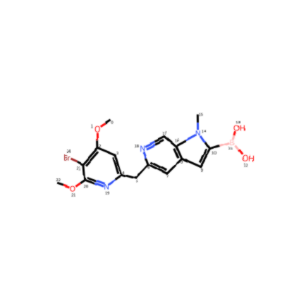 COc1cc(Cc2cc3cc(B(O)O)n(C)c3cn2)nc(OC)c1Br